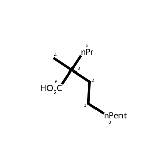 CCCCCCCC(C)(CCC)C(=O)O